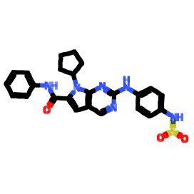 O=C(Nc1ccccc1)c1cc2cnc(Nc3ccc(N[SH](=O)=O)cc3)nc2n1C1CCCC1